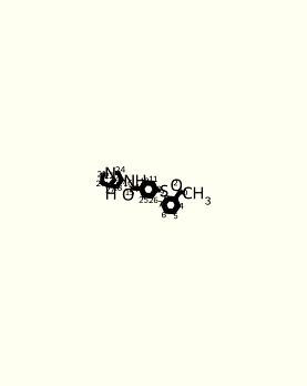 CC(=O)c1ccccc1Sc1ccc(C(=O)N[C@@H]2C[C@@H]3CCN(C3)C2)cc1